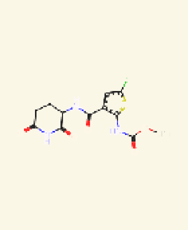 CC(C)(C)OC(=O)Nc1sc(Cl)cc1C(=O)NC1CCC(=O)NC1=O